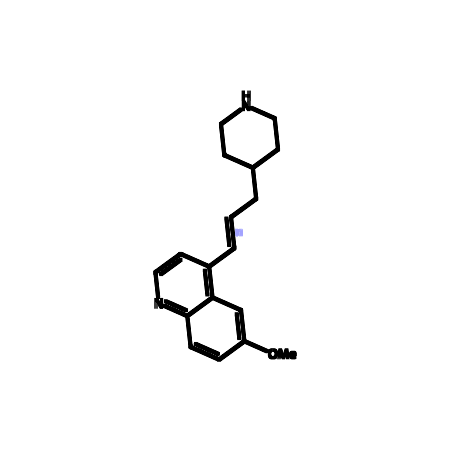 COc1ccc2nccc(/C=C/CC3CCNCC3)c2c1